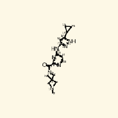 CN1CC2(C1)CN(C(=O)c1nccc(Nc3cc(C4CC4)[nH]n3)n1)C2